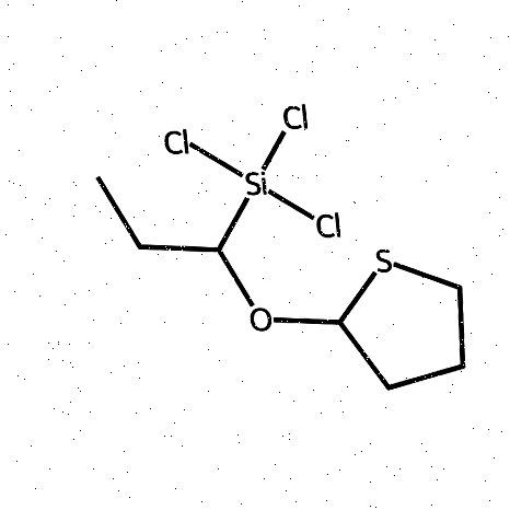 CCC(OC1CCCS1)[Si](Cl)(Cl)Cl